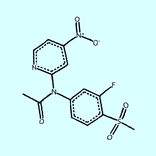 CC(=O)N(c1ccc(S(C)(=O)=O)c(F)c1)c1cc([N+](=O)[O-])ccn1